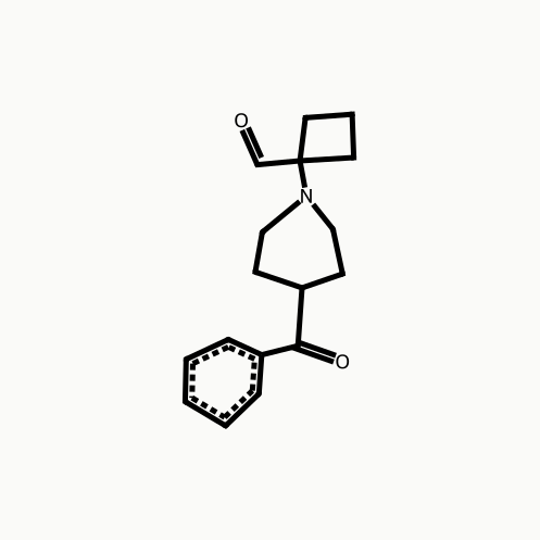 O=CC1(N2CCC(C(=O)c3ccccc3)CC2)CCC1